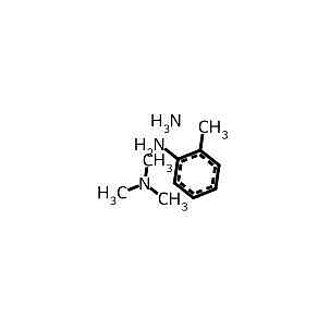 CN(C)C.Cc1ccccc1N.N